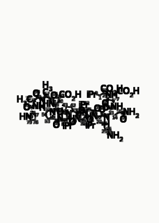 CC(C)C[C@H](NC(=O)[C@H](CCC(=O)O)NC(=O)[C@H](CCC(N)=O)NC(=O)[C@H](CCCCN)NC(=O)[C@@H](NC(=O)[C@H](CC(C)C)NC(=O)[C@@H]1CCCN1C(=O)[C@@H](NC(=O)[C@@H]1CCCN1C(=O)[C@H](CCC(=O)O)NC(=O)[C@H](C)NC(=O)[C@H](C)NC(=O)[C@@H]1CCCN1)C(C)C)C(C)C)C(=O)O